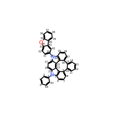 c1ccc(-n2c3cccc4c5ccccc5c5cccc6c5c5c(c43)c2ccc5n6-c2ccc3oc4ccccc4c3c2)cc1